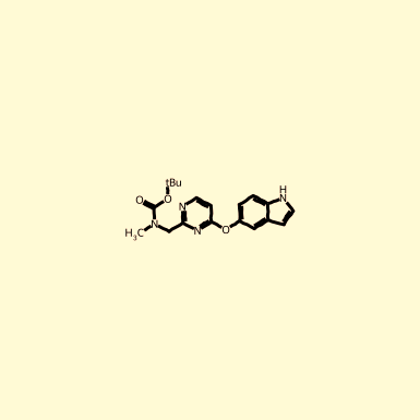 CN(Cc1nccc(Oc2ccc3[nH]ccc3c2)n1)C(=O)OC(C)(C)C